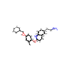 Cc1cc(OCC2CCCCC2)ccc1Oc1ccc2cc(CCN)ccc2n1